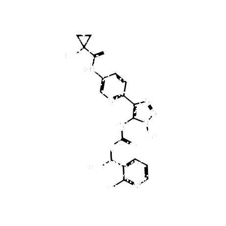 CC(OC(=O)Nc1c(-c2ccc(NC(=O)C3(O)CC3)cn2)nnn1C)c1cccnc1Cl